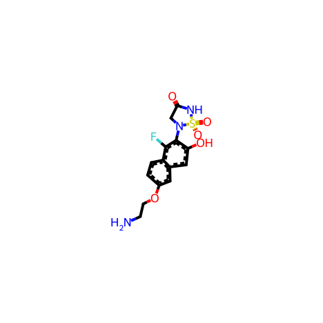 NCCOc1ccc2c(F)c(N3CC(=O)NS3(=O)=O)c(O)cc2c1